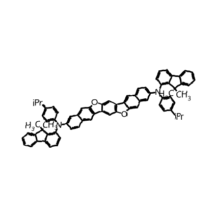 CC(C)c1ccc(N(c2ccc3cc4c(cc3c2)oc2cc3c(cc24)oc2cc4cc(N(c5ccc(C(C)C)cc5)c5cccc6c5C(C)(C)c5ccccc5-6)ccc4cc23)c2cccc3c2C(C)(C)c2ccccc2-3)cc1